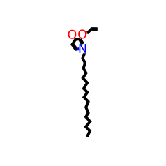 C=CCOc1cn(CCCCCCCCCCCCCCCCCC)ccc1=O